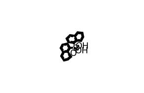 O=S(O)(O)(c1cccc2ccccc12)c1cccc2ccccc12